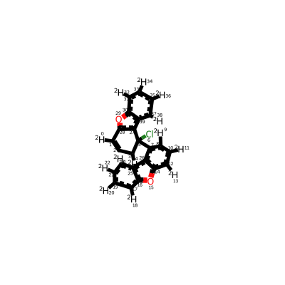 [2H]C1=CC([2H])C(Cl)(c2c([2H])c([2H])c([2H])c3oc4c([2H])c([2H])c([2H])c([2H])c4c23)c2c1oc1c([2H])c([2H])c([2H])c([2H])c21